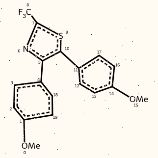 COc1ccc(-c2nc(C(F)(F)F)sc2-c2ccc(OC)cc2)cc1